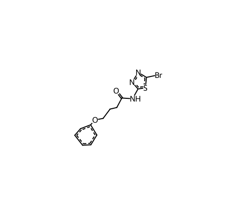 O=C(CCCOc1ccccc1)Nc1nnc(Br)s1